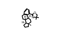 CC1(C)COC(c2cccc3c2[C@H]2CC[C@]4(C)CCC[C@H]4[C@@H]2CC3)=N1